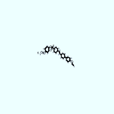 C=COc1ccc(C2CCC(/C=C/C3CCC(C(F)(F)Oc4ccc(OC(F)(F)F)cc4)CC3)CC2)cc1